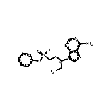 CC[C@@H](OCP(=O)(Cl)Oc1ccccc1)n1cnc2c(N)ncnc21